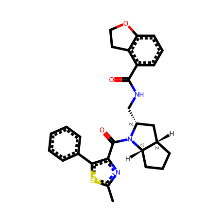 Cc1nc(C(=O)N2[C@H](CNC(=O)c3cccc4c3CCO4)C[C@@H]3CCC[C@@H]32)c(-c2ccccc2)s1